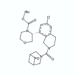 CC(C)(C)OC(=O)N1CCOC[C@H]1c1cc(Cl)cc2c1CN(C(=O)N1CC3CC(C1)C3=O)CC2